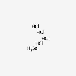 Cl.Cl.Cl.Cl.[SeH2]